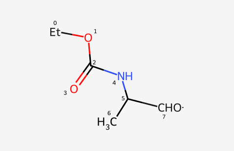 CCOC(=O)NC(C)[C]=O